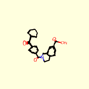 O=C(O)c1ccc2c(c1)CN(C(=O)c1ccc(C(=O)C3CCCCC3)cc1)CC2